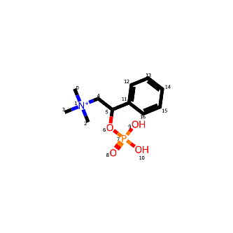 C[N+](C)(C)CC(OP(=O)(O)O)c1ccccc1